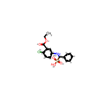 CCOC(=O)c1cc(NC(c2ccccc2)S(=O)(=O)O)ccc1Cl